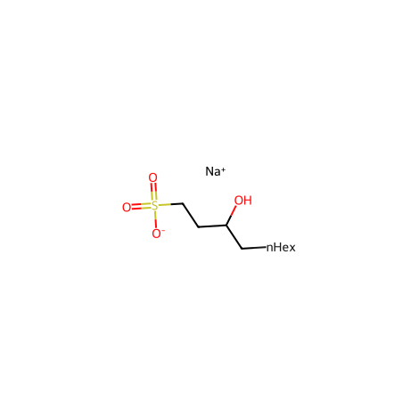 CCCCCCCC(O)CCS(=O)(=O)[O-].[Na+]